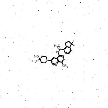 Cc1nnc(N[C@H](C)c2cccc3c2CCC3(F)F)c2cc(N3CCC(C)(O)CC3)cnc12